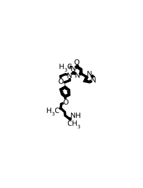 CC(=N)CCC(C)COc1ccc([C@H]2CN(c3nc(-c4ccncn4)cc(=O)n3C)CCO2)cc1